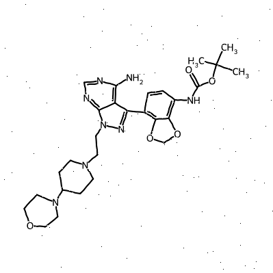 CC(C)(C)OC(=O)Nc1ccc(-c2nn(CCN3CCC(N4CCOCC4)CC3)c3ncnc(N)c23)c2c1OCO2